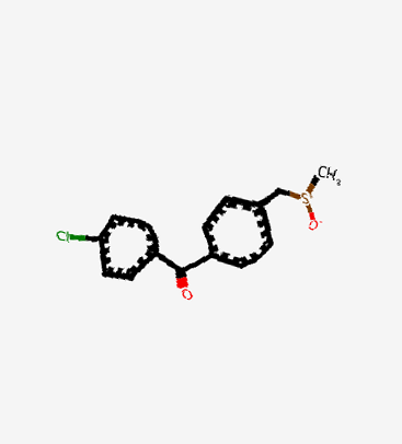 C[S+]([O-])Cc1ccc(C(=O)c2ccc(Cl)cc2)cc1